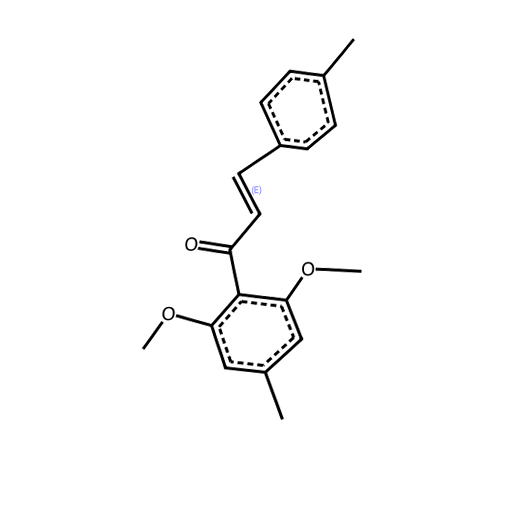 COc1cc(C)cc(OC)c1C(=O)/C=C/c1ccc(C)cc1